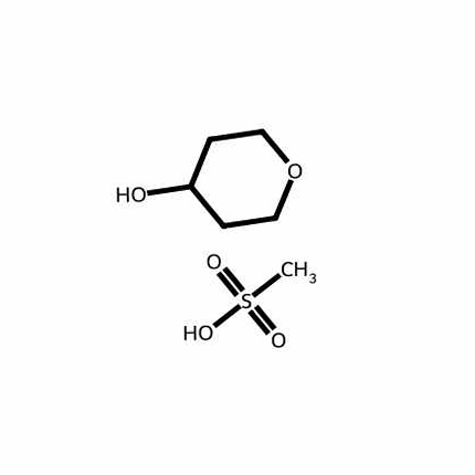 CS(=O)(=O)O.OC1CCOCC1